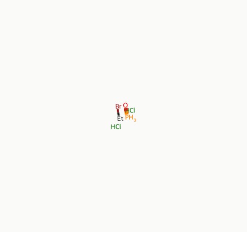 CCBr.Cl.Cl.O=[PH3]